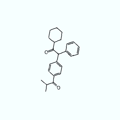 CC(C)C(=O)c1ccc(C(C(=O)C2CCCCC2)c2ccccc2)cc1